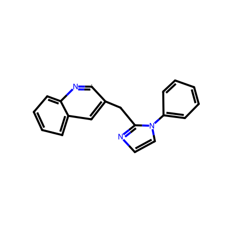 [c]1nc2ccccc2cc1Cc1nccn1-c1ccccc1